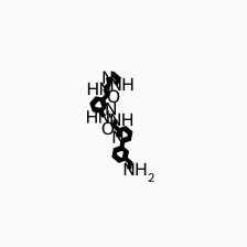 NCc1cccc(-c2cccc(C(=O)Nc3nc4c(C(=O)Nc5ncc[nH]5)cccc4[nH]3)n2)c1